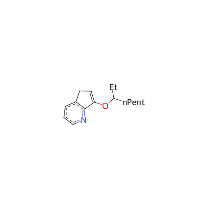 CCCCCC(CC)OC1=CCc2cccnc21